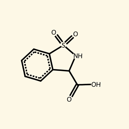 O=C(O)C1NS(=O)(=O)c2ccccc21